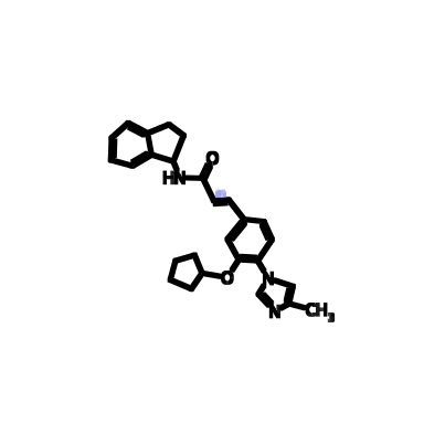 Cc1cn(-c2ccc(/C=C/C(=O)NC3CCc4ccccc43)cc2OC2CCCC2)cn1